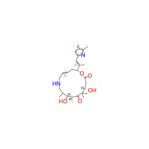 C/C(=C\c1csc(C)n1)C1C/C=C/CNCC(C)[C@H](O)[C@@H](C)C(=O)C(C)(C)[C@@H](O)CC(=O)O1